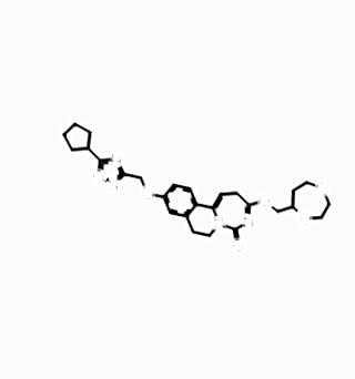 O=C1N=C(OCC2CCOCCO2)CC=C2c3ccc(OCc4noc(C5CCCC5)n4)cc3CCN12